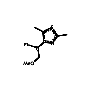 CCN(COC)c1nc(C)sc1C